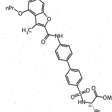 CCCOc1cccc2oc(C(=O)Nc3ccc(-c4ccc(S(=O)(=O)N[C@H](C(=O)OC)C(C)C)cc4)cc3)c(C)c12